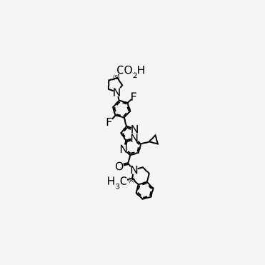 C[C@@H]1c2ccccc2CCN1C(=O)c1cc(C2CC2)n2nc(-c3cc(F)c(N4CC[C@H](C(=O)O)C4)cc3F)cc2n1